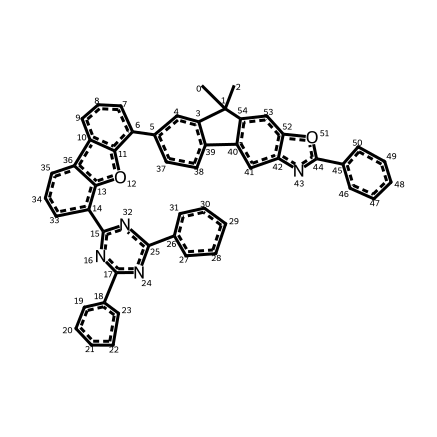 CC1(C)c2cc(-c3cccc4c3oc3c(-c5nc(-c6ccccc6)nc(-c6ccccc6)n5)cccc34)ccc2-c2cc3nc(-c4ccccc4)oc3cc21